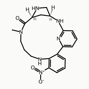 CN1CCCNc2c(cccc2[N+](=O)[O-])-c2cccc(n2)N[C@@H]2CN[C@@H](C2)C1=O